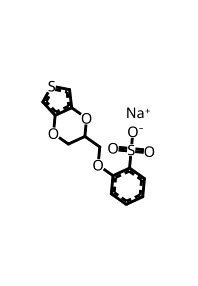 O=S(=O)([O-])c1ccccc1OCC1COc2cscc2O1.[Na+]